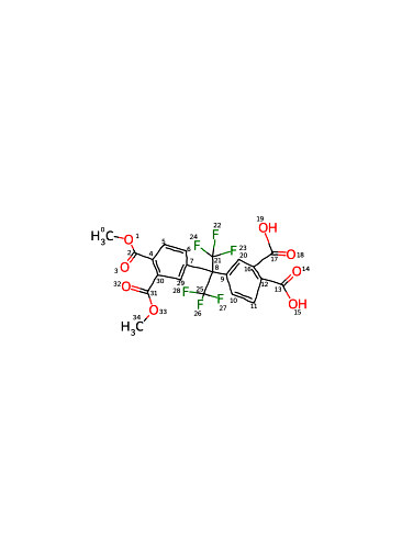 COC(=O)c1ccc(C(c2ccc(C(=O)O)c(C(=O)O)c2)(C(F)(F)F)C(F)(F)F)cc1C(=O)OC